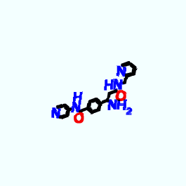 NC(CC(=O)NCc1ccccn1)c1ccc(C(=O)Nc2ccncc2)cc1